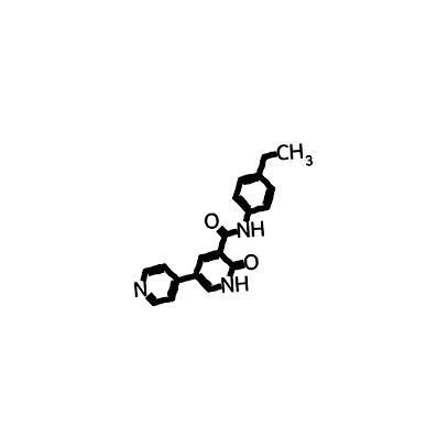 CCc1ccc(NC(=O)c2cc(-c3ccncc3)c[nH]c2=O)cc1